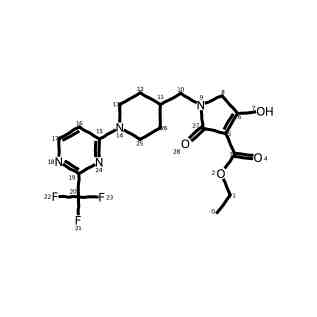 CCOC(=O)C1=C(O)CN(CC2CCN(c3ccnc(C(F)(F)F)n3)CC2)C1=O